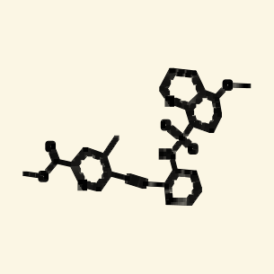 COC(=O)c1cc(C)c(C#Cc2ccccc2NS(=O)(=O)c2ccc(OC)c3cccnc23)cn1